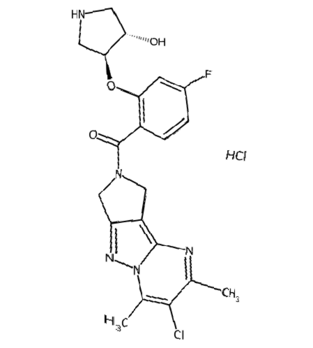 Cc1nc2c3c(nn2c(C)c1Cl)CN(C(=O)c1ccc(F)cc1O[C@H]1CNC[C@@H]1O)C3.Cl